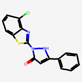 O=c1cc(-c2ccccc2)[nH]n1-c1nc2c(Cl)cccc2s1